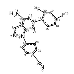 N#Cc1ccc(-n2ncc3c(N)nc(-c4ccc(F)cc4F)nc32)cc1